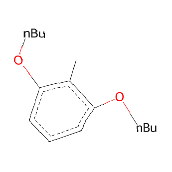 CCCCOc1cccc(OCCCC)c1C